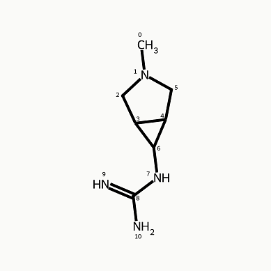 CN1CC2C(C1)C2NC(=N)N